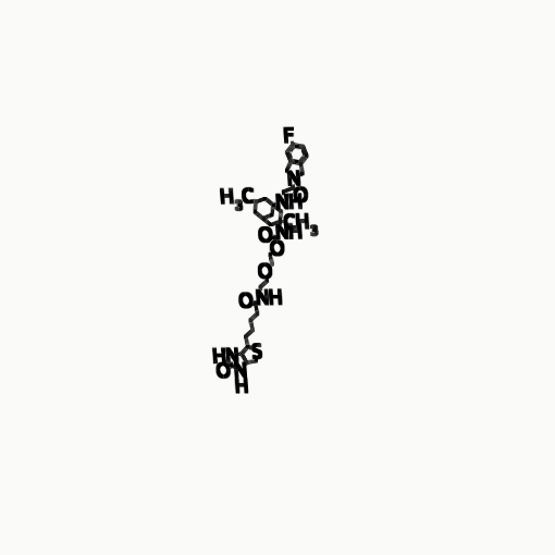 CC1CC2CC(C)(NC(=O)OCCOCCNC(=O)CCCCC3SCC4NC(=O)NC43)CC(NCC(=O)N3Cc4ccc(F)cc4C3)(C1)C2